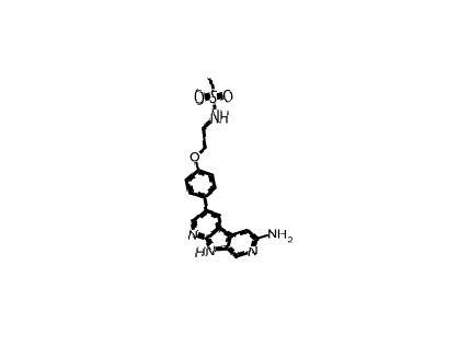 CS(=O)(=O)NCCOc1ccc(-c2cnc3[nH]c4cnc(N)cc4c3c2)cc1